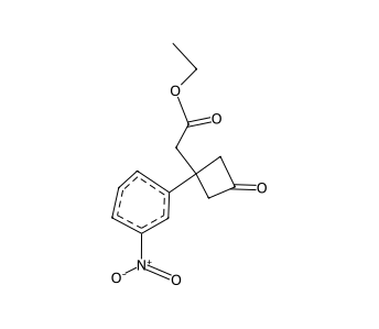 CCOC(=O)CC1(c2cccc([N+](=O)[O-])c2)CC(=O)C1